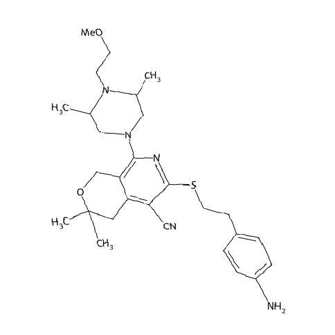 COCCN1C(C)CN(c2nc(SCCc3ccc(N)cc3)c(C#N)c3c2COC(C)(C)C3)CC1C